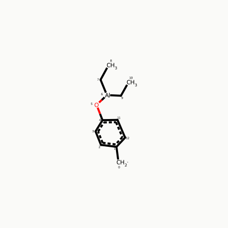 [CH2]c1ccc([O][Al]([CH2]C)[CH2]C)cc1